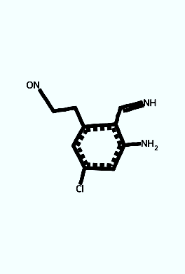 N=Cc1c(N)cc(Cl)cc1CCN=O